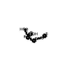 Cc1c(CCCC(=O)O)c2c(F)ccc(C=Cc3cccc(OC/C=C/COc4ccc(F)cc4)c3)c2n1CC(=O)O